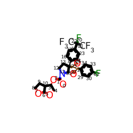 O=C(O[C@H]1COC2OCCC21)N1CC[C@](c2ccc(C(F)(C(F)(F)F)C(F)(F)F)cc2)(S(=O)(=O)c2ccc(F)cc2)C1